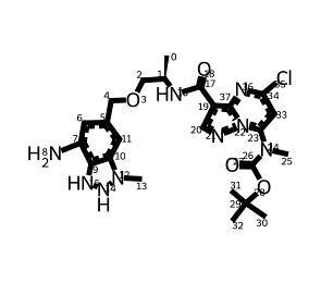 C[C@H](COCc1cc(N)c2c(c1)N(C)NN2)NC(=O)c1cnn2c(N(C)C(=O)OC(C)(C)C)cc(Cl)nc12